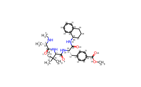 CN[C@@H](C)C(=O)NC(C(=O)N[C@@H](Cc1ccc(C(=O)OC)cc1)C(=O)N[C@@H]1CCCc2ccccc21)C(C)(C)C